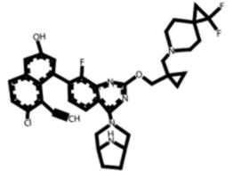 C#Cc1c(Cl)ccc2cc(O)cc(-c3ccc4c(N5CC6CCC(C5)N6)nc(OCC5(CN6CCC7(CC6)CC7(F)F)CC5)nc4c3F)c12